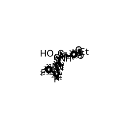 CCS(=O)(=O)c1ccc(CCN(NC(=O)c2cnc(N3CC(F)(F)CC3c3cccc(F)c3)nc2)C(=O)O)cc1